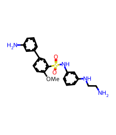 COc1ccc(-c2cccc(N)c2)cc1S(=O)(=O)Nc1cccc(NCCN)c1